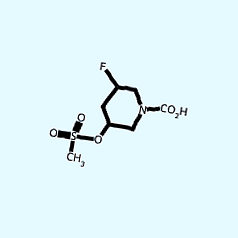 CS(=O)(=O)OC1CC(F)CN(C(=O)O)C1